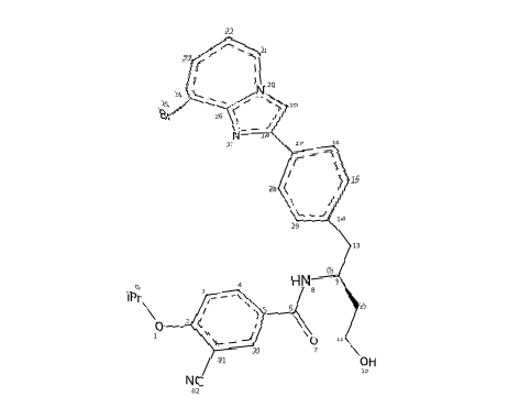 CC(C)Oc1ccc(C(=O)N[C@H](CCO)Cc2ccc(-c3cn4cccc(Br)c4n3)cc2)cc1C#N